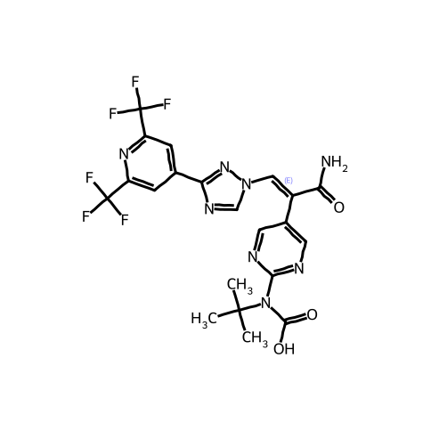 CC(C)(C)N(C(=O)O)c1ncc(/C(=C\n2cnc(-c3cc(C(F)(F)F)nc(C(F)(F)F)c3)n2)C(N)=O)cn1